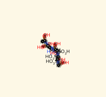 Nc1c(N=Nc2cc3c(O)c(N=Nc4ccc(SOOO)c5ccccc45)c(SOOO)cc3cc2S(=O)(=O)O)c(SOOO)cc2cc(S(=O)(=O)O)c(N=Nc3ccc4c(O)c(N=Nc5ccccc5SOOO)c(S(=O)(=O)O)cc4c3S(=O)(=O)O)c(O)c12